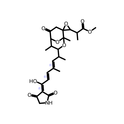 COC(=O)C(C)C1OC12CC(=O)C1OC2(C)OC(C(C)/C=C(C)/C=C/C(O)=C2/C(=O)CNC2=O)C1C